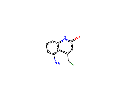 Nc1cccc2[nH]c(=O)cc(CF)c12